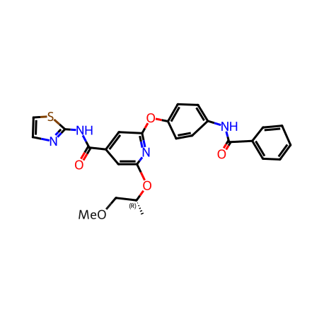 COC[C@@H](C)Oc1cc(C(=O)Nc2nccs2)cc(Oc2ccc(NC(=O)c3ccccc3)cc2)n1